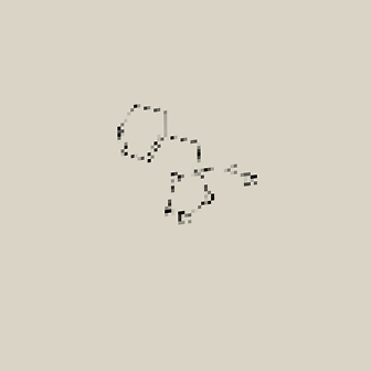 CCO[Si](CC1=CC=CCC1)(OCC)OCC